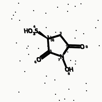 O=C1C[C@H](S(=O)(=O)O)C(=O)N1O